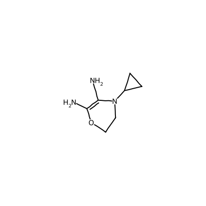 NC1=C(N)N(C2CC2)CCO1